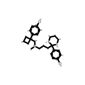 CN(CCCC1(c2ccc(Cl)cc2)SCCCS1)CC1(c2ccc(Cl)cc2)CCC1